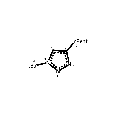 CCCCCc1cn(C(C)(C)C)nn1